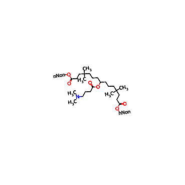 CCCCCCCCCOC(=O)CCC(C)(C)CCCC(CCCC(C)(C)CCC(=O)OCCCCCCCCC)OC(=O)CCCN(C)C